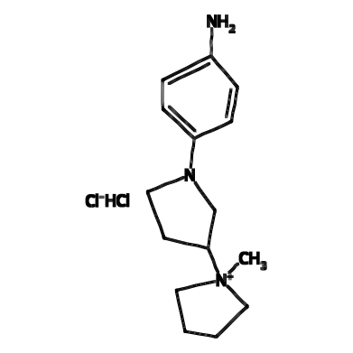 C[N+]1(C2CCN(c3ccc(N)cc3)C2)CCCC1.Cl.[Cl-]